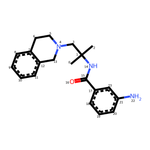 CC(C)(CN1CCc2ccccc2C1)NC(=O)c1cccc(N)c1